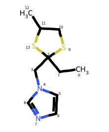 CCC1(Cn2ccnc2)SCC(C)S1